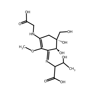 COC1=C(NCC(=O)O)C[C@@](O)(CO)[C@@H](O)/C1=N\C(C(=O)O)C(C)O